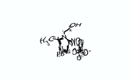 Cc1ncc([N+](=O)[O-])n1CCO.O=P([O-])([O-])[O-].[Pb+4]